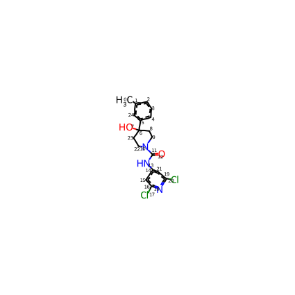 Cc1cccc(C2(O)CCN(C(=O)Nc3cc(Cl)nc(Cl)c3)CC2)c1